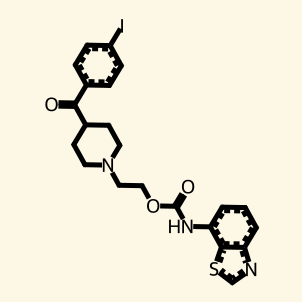 O=C(Nc1cccc2ncsc12)OCCN1CCC(C(=O)c2ccc(I)cc2)CC1